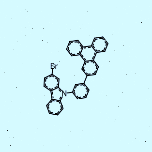 Brc1ccc2c3ccccc3n(-c3cccc(-c4ccc5c6ccccc6c6ccccc6c5c4)c3)c2c1